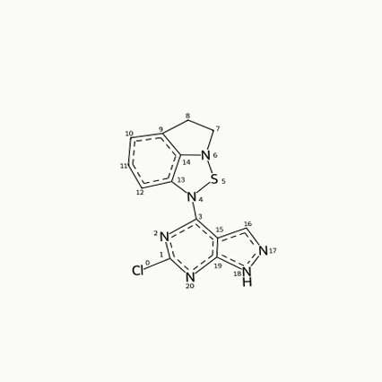 Clc1nc(N2SN3CCc4cccc2c43)c2cn[nH]c2n1